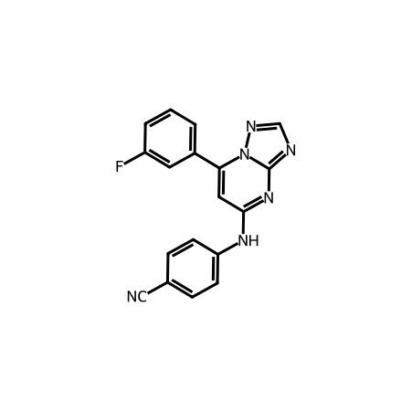 N#Cc1ccc(Nc2cc(-c3cccc(F)c3)n3ncnc3n2)cc1